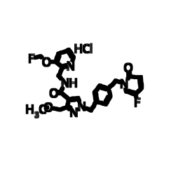 COCc1nn(Cc2ccc(Cn3cc(F)ccc3=O)cc2)cc1C(=O)NCc1ncccc1OCF.Cl